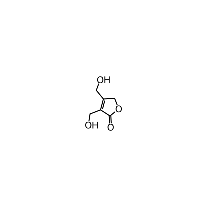 O=C1OCC(CO)=C1CO